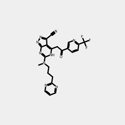 CN(CCCc1ncccn1)c1nc2nnc(C#N)c-2c(CC(=O)c2ccc(C(F)(F)F)nc2)[nH]1